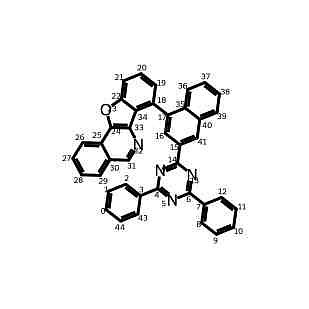 c1ccc(-c2nc(-c3ccccc3)nc(-c3cc(-c4cccc5oc6c7ccccc7cnc6c45)c4ccccc4c3)n2)cc1